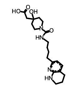 O=C(O)CC1(O)CCN(C(=O)NCCCCc2ccc3c(n2)NCCC3)CC1